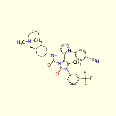 CC[N+](C)(C)C[C@H]1CC[C@H](NC(=O)n2c(-c3ccnn3-c3ccc(C#N)cc3)c(C)n(-c3cccc(C(F)(F)F)c3)c2=O)CC1